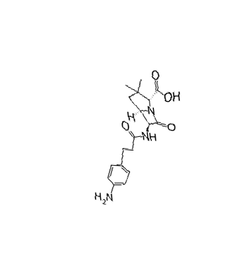 CC1(C)C[C@@H]2[C@H](NC(=O)CCc3ccc(N)cc3)C(=O)N2[C@H]1C(=O)O